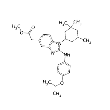 COC(=O)Cc1ccc2c(c1)nc(Nc1ccc(OC(C)C)cc1)n2C1CC(C)CC(C)(C)C1